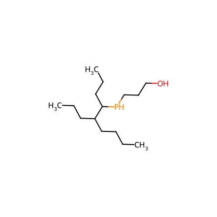 CCCCC(CCC)C(CCC)PCCCO